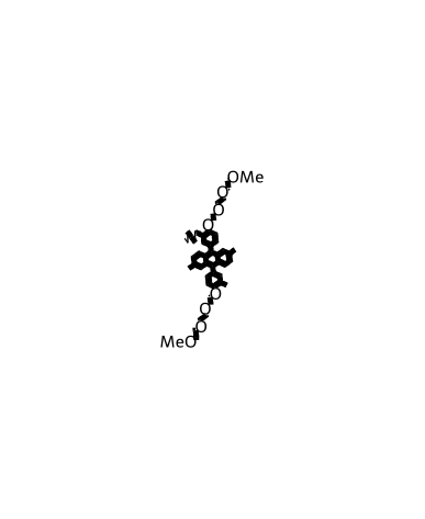 COCCOCCOCCOc1ccc(-c2c3ccc(C)cc3c(-c3ccc(OCCOCCOCCOC)c(C[N+](C)(C)C)c3)c3ccc(C)cc23)cc1C